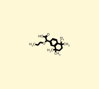 CCCOC(C(=O)O)c1ccc2c(c1)C(C)(C)CCC2(C)C